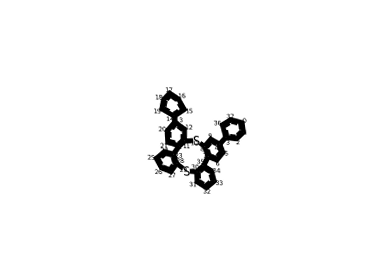 c1ccc(-c2ccc3c(c2)Sc2cc(-c4ccccc4)ccc2-c2ccccc2Sc2ccccc2-3)cc1